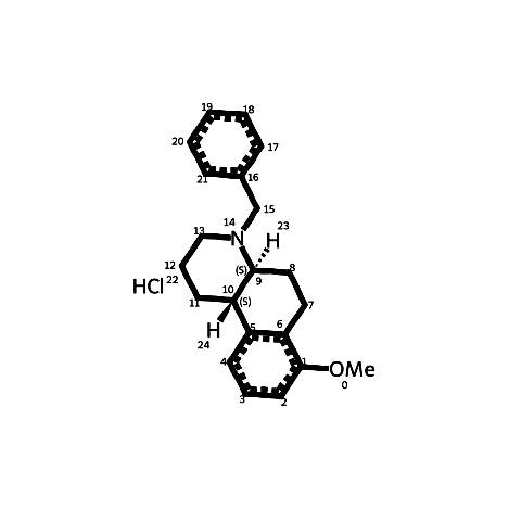 COc1cccc2c1CC[C@H]1[C@H]2CCCN1Cc1ccccc1.Cl